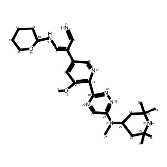 COc1cc(/C(C=N)=C/NC2CCCCO2)cnc1-c1ncc(N(C)C2CC(C)(C)NC(C)(C)C2)nn1